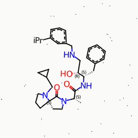 CC(C)c1cccc(CNC[C@@H](O)[C@H](Cc2ccccc2)NC(=O)[C@H](C)N2CC[C@@]3(CCCN3CC3CC3)C2=O)c1